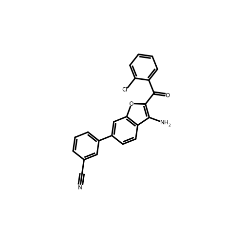 N#Cc1cccc(-c2ccc3c(N)c(C(=O)c4ccccc4Cl)oc3c2)c1